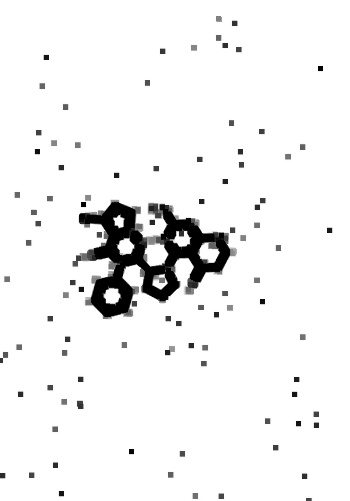 Nc1nc2c(c(N3CCC[C@H]3c3nn4ccc(Cl)c4c(=O)n3-c3ccccc3)n1)C(=O)CCN2